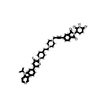 CC(C)n1c2ccncc2c2ccc(-c3cnc(N4CCC(CCN5CCN(CC#Cc6ccc7c(c6)C(=O)N(C6CCC(=O)NC6=O)C7=O)CC5)CC4)c(F)c3)cc21